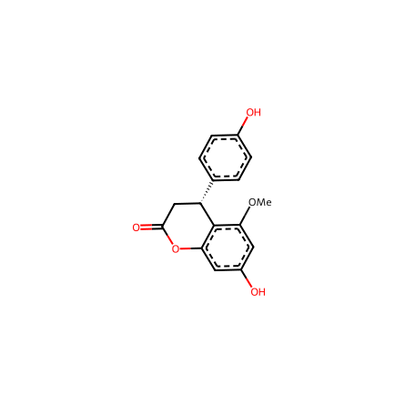 COc1cc(O)cc2c1[C@@H](c1ccc(O)cc1)CC(=O)O2